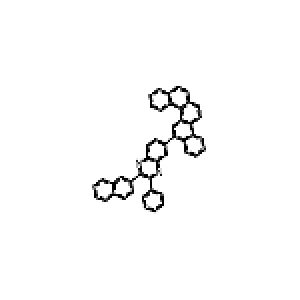 c1ccc(-c2nc3cc(-c4cc5c(ccc6ccc7ccccc7c65)c5ccccc45)ccc3nc2-c2ccc3ccccc3c2)cc1